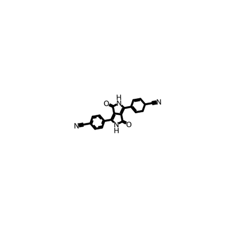 N#Cc1ccc(C2=C3C(=O)NC(C4=CCC(C#N)C=C4)=C3C(=O)N2)cc1